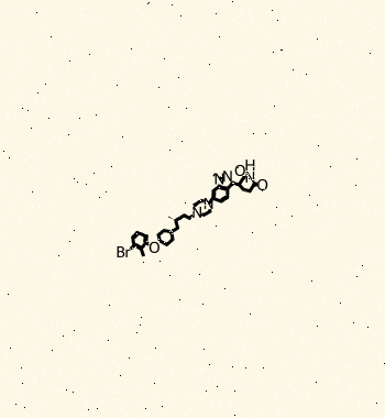 Cc1c(Br)cccc1OC1CCC(C[C@H](C)CCN2CCN(c3ccc4c(C5CCC(=O)NC5=O)nn(C)c4c3)CC2)CC1